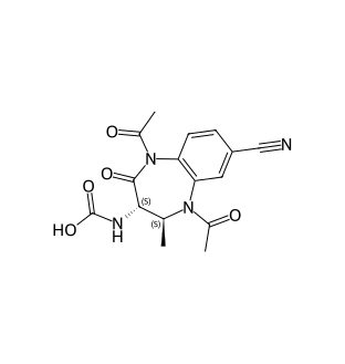 CC(=O)N1C(=O)[C@@H](NC(=O)O)[C@H](C)N(C(C)=O)c2cc(C#N)ccc21